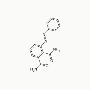 NC(=O)c1cccc(N=Nc2ccccc2)c1C(N)=O